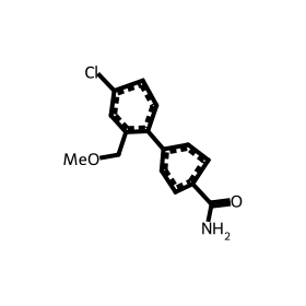 COCc1cc(Cl)ccc1-c1ccc(C(N)=O)cc1